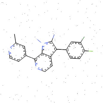 Cc1cc(-c2nccc3c(-c4ccc(F)c(Cl)c4)c(N)n(N)c23)ccn1